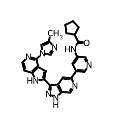 Cc1cn(-c2nccc3[nH]c(-c4n[nH]c5cnc(-c6cncc(NC(=O)C7CCCC7)c6)cc45)cc23)cn1